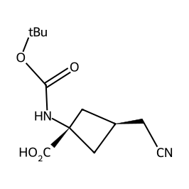 CC(C)(C)OC(=O)N[C@]1(C(=O)O)C[C@@H](CC#N)C1